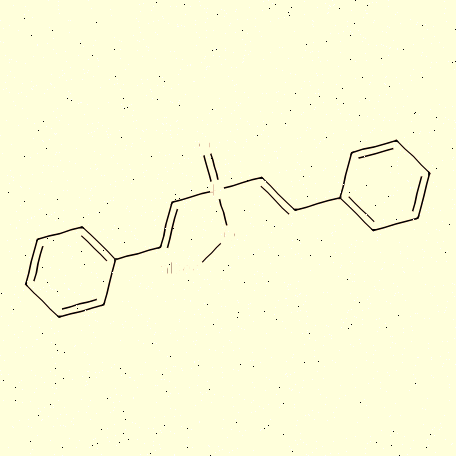 CCCCCCCCCCOP(=O)(C=Cc1ccccc1)C=Cc1ccccc1